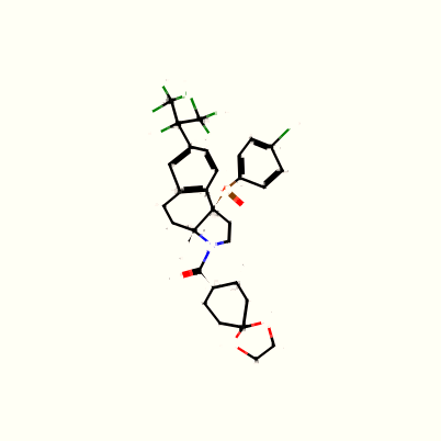 C[C@@H]1CC2(CC[C@H]1C(=O)N1CC[C@@]3(S(=O)(=O)c4ccc(F)cc4)c4ccc(C(F)(C(F)(F)F)C(F)(F)F)cc4CC[C@@H]13)OCCO2